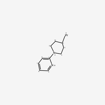 CC(C)C1CCN(c2ccccn2)CC1